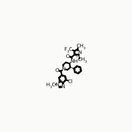 Cc1nn(C)c(C(=O)N[C@@H]2CCN(C(=O)c3cc(Cl)c4ncn(C)c4c3)C[C@@H]2c2ccccc2)c1C(F)(F)F